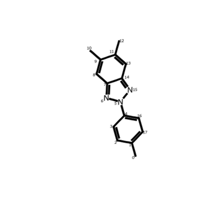 Cc1ccc(-n2nc3cc(C)c(C)cc3n2)cc1